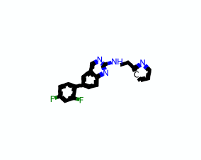 Fc1ccc(-c2ccc3nc(NCCc4ccccn4)ncc3c2)c(F)c1